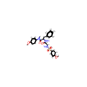 COc1ccc(N(C)C(=O)C(Cc2ccccc2)NC(=O)CNS(=O)(=O)c2ccc(OC)cc2)cc1